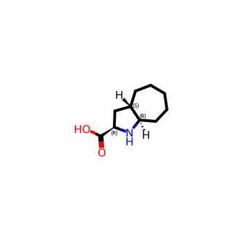 O=C(O)[C@H]1C[C@@H]2CCCCC[C@H]2N1